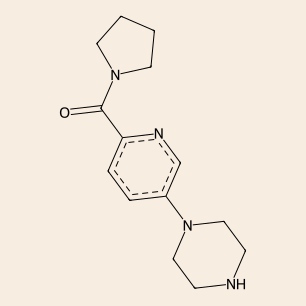 O=C(c1ccc(N2CCNCC2)cn1)N1CCCC1